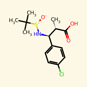 C[C@H](C(=O)O)[C@H](N[S@+]([O-])C(C)(C)C)c1ccc(Cl)cc1